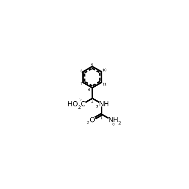 NC(=O)NC(C(=O)O)c1ccccc1